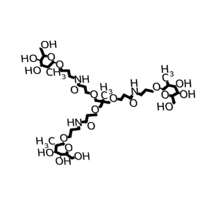 CC1[C@H](OCCCNC(=O)CCOCC(C)(COCCC(=O)NCCCO[C@@H]2OC(CO)[C@H](O)[C@H](O)C2C)COCCC(=O)NCCCO[C@@H]2OC(CO)[C@H](O)[C@H](O)C2C)OC(CO)[C@H](O)[C@@H]1O